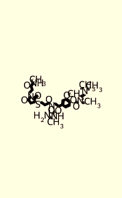 CCN(CC)CCN(CC)C(=O)Oc1ccc(C(CNC(=O)CCSC2CC(=O)N(CCC(=O)NC)C2=O)OC(=O)NC(C)N)cc1OC